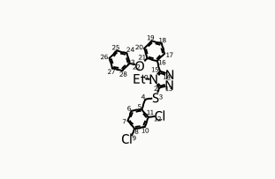 CCn1c(SCc2ccc(Cl)cc2Cl)nnc1-c1ccccc1Oc1ccccc1